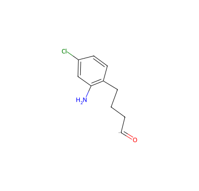 Nc1cc(Cl)ccc1CCC[C]=O